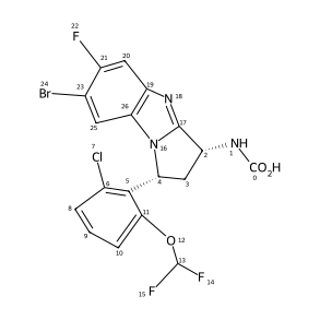 O=C(O)N[C@@H]1C[C@H](c2c(Cl)cccc2OC(F)F)n2c1nc1cc(F)c(Br)cc12